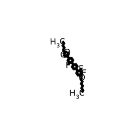 CCCCCCCOc1ccc(-c2ccc(-c3ccc(C4COC(CCCCC)OC4)cc3F)cc2)c(F)c1F